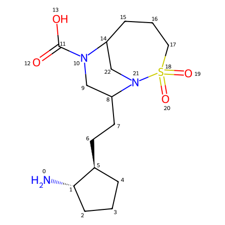 N[C@H]1CCC[C@@H]1CCC1CN(C(=O)O)C2CCCS(=O)(=O)N1C2